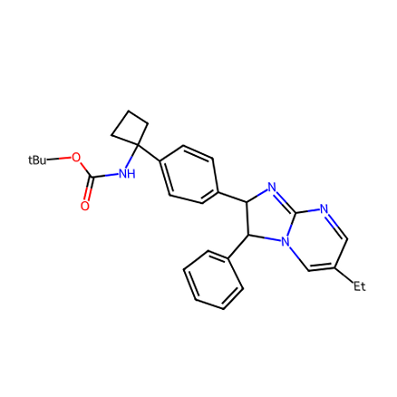 CCC1=CN2C(=NC(c3ccc(C4(NC(=O)OC(C)(C)C)CCC4)cc3)C2c2ccccc2)N=C1